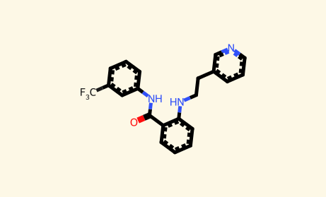 O=C(Nc1cccc(C(F)(F)F)c1)c1ccccc1NCCc1cccnc1